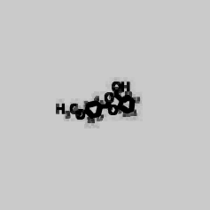 COc1ccc(C(=O)Oc2ccccc2CO)cc1